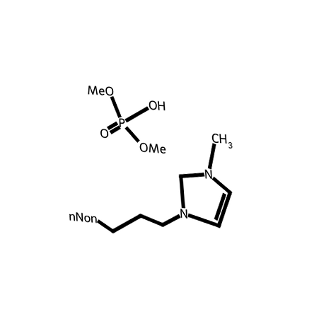 CCCCCCCCCCCCN1C=CN(C)C1.COP(=O)(O)OC